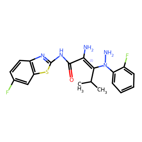 CC(C)/C(=C(/N)C(=O)Nc1nc2ccc(F)cc2s1)N(N)c1ccccc1F